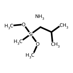 CO[Si](C)(CC(C)C)OC.N